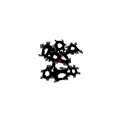 Cc1ccccc1-c1ccc(-n2c3ccccc3c3ccc4c5ccccc5n(-c5nc(-c6ccccc6)nc(-c6ccccc6)n5)c4c32)cc1-c1ccccc1